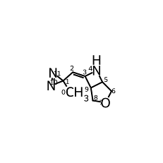 CC1(/C=C2/NC3COCC23)N=N1